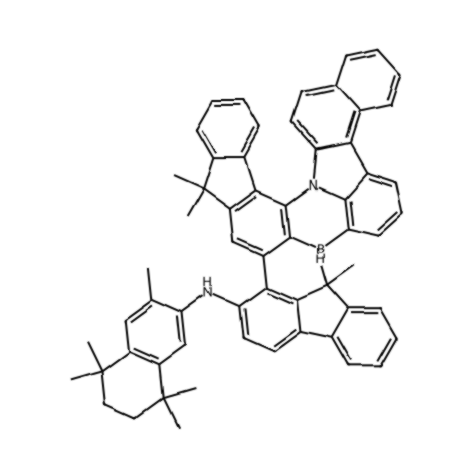 Cc1cc2c(cc1Nc1ccc3c(c1-c1cc4c(c5c1Bc1cccc6c7c8ccccc8ccc7n-5c16)-c1ccccc1C4(C)C)C(C)(C)c1ccccc1-3)C(C)(C)CCC2(C)C